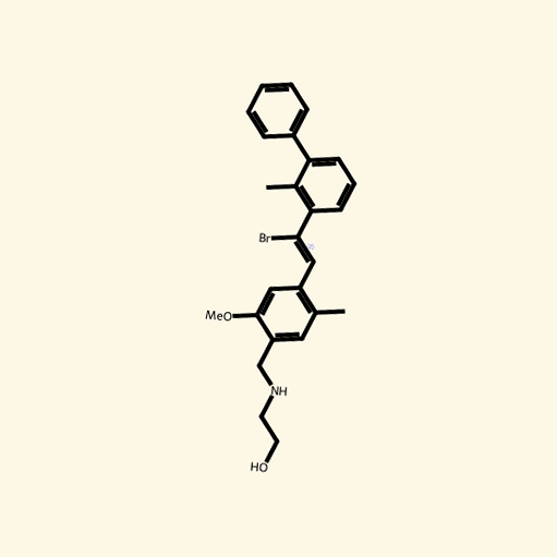 COc1cc(/C=C(\Br)c2cccc(-c3ccccc3)c2C)c(C)cc1CNCCO